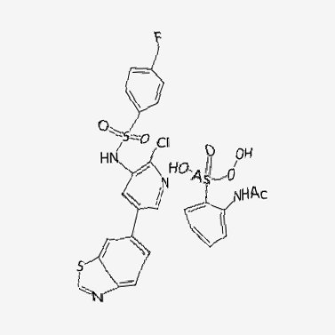 CC(=O)Nc1ccccc1[As](=O)(O)OO.O=S(=O)(Nc1cc(-c2ccc3ncsc3c2)cnc1Cl)c1ccc(F)cc1